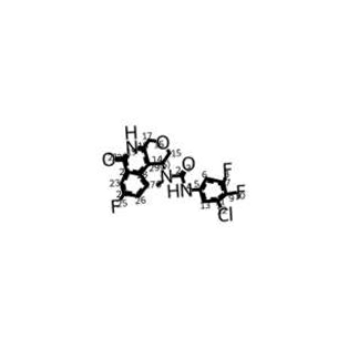 CN(C(=O)Nc1cc(F)c(F)c(Cl)c1)[C@@H]1COCc2[nH]c(=O)c3cc(F)ccc3c21